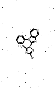 Nc1nc(Br)nn1-c1nc2cnccc2n1-c1ccccc1